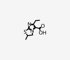 CCc1nc2n(c1C(=O)O)CC(C)S2